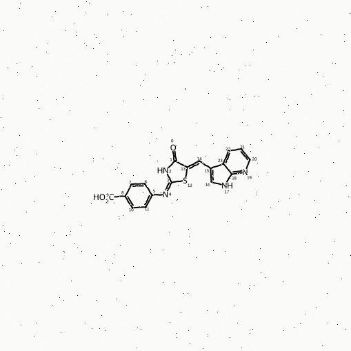 O=C1NC(=Nc2ccc(C(=O)O)cc2)SC1=Cc1c[nH]c2ncccc12